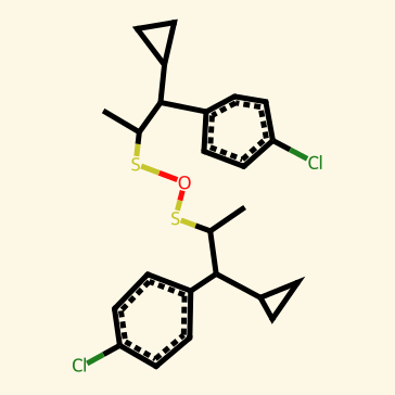 CC(SOSC(C)C(c1ccc(Cl)cc1)C1CC1)C(c1ccc(Cl)cc1)C1CC1